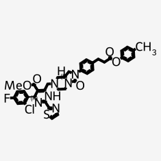 COC(=O)C1=C(CN2CCN3C(=O)N(c4ccc(CCC(=O)Oc5ccc(C)cc5)cc4)C[C@@H]3C2)NC(c2nccs2)=N[C@H]1c1ccc(F)cc1Cl